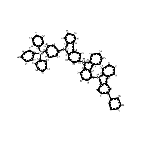 c1ccc(-c2ccc3c(c2)c2ccccc2n3-c2cccc3c2c2ccccc2n3-c2ccc3c(c2)c2ccccc2n3-c2ccc([Si](c3ccccc3)(c3ccccc3)c3ccccc3)cc2)cc1